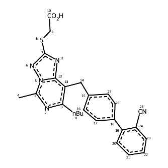 CCCCc1nc(C)n2nc(SCC(=O)O)nc2c1Cc1ccc(-c2ccccc2C#N)cc1